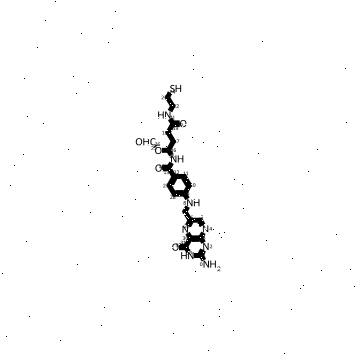 Nc1nc2ncc(CNc3ccc(C(=O)NC(CCC(=O)NCCS)OC=O)cc3)nc2c(=O)[nH]1